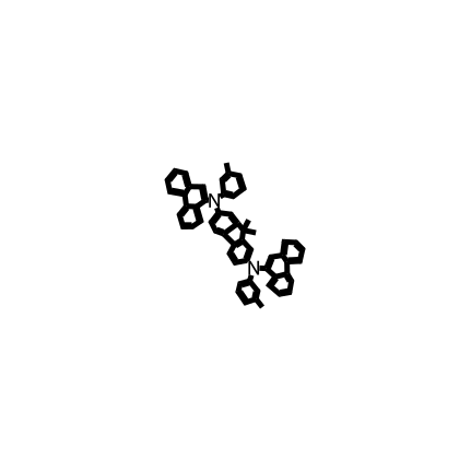 Cc1cccc(N(c2ccc3c(c2)C(C)(C)c2cc(N(c4cccc(C)c4)c4cc5ccccc5c5ccccc45)ccc2-3)c2cc3ccccc3c3ccccc23)c1